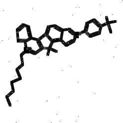 CCCCCCCC[n+]1cc2c(c3ccccc31)-c1ccc3c[n+](-c4ccc(C(C)(C)C)cc4)ccc3c1C2(C)C